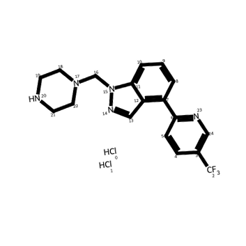 Cl.Cl.FC(F)(F)c1ccc(-c2cccc3c2cnn3CN2CCNCC2)nc1